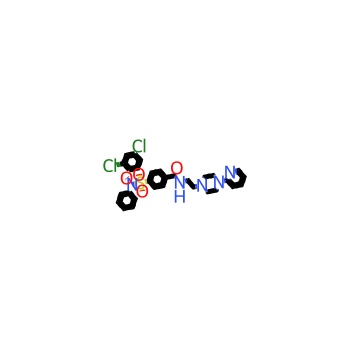 O=C(NCCN1CCN(c2ccccn2)CC1)c1ccc(S(=O)(=O)N(Oc2ccc(Cl)cc2Cl)c2ccccc2)cc1